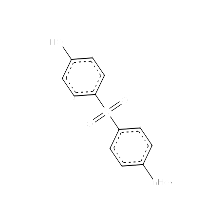 CCCCCCc1ccc(S(=O)(=O)c2ccc(O)cc2)cc1